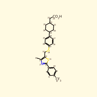 Cc1nc(-c2ccc(C(F)(F)F)cc2)sc1CSc1ccc(C2CCC(CC(=O)O)CC2)cc1